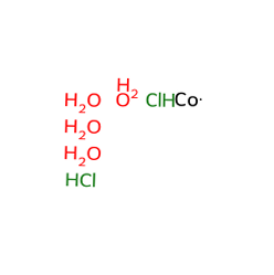 Cl.Cl.O.O.O.O.[Co]